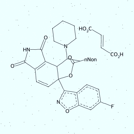 CCCCCCCCCC(=O)OC1(c2noc3cc(F)ccc23)C=CC2=C(C(=O)NC2=O)C1C(C)N1CCCCC1.O=C(O)C=CC(=O)O